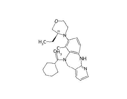 CC[C@H]1COCCN1c1ccc2c(c1C)N(C(=O)C1CCCCC1)Cc1cccnc1N2